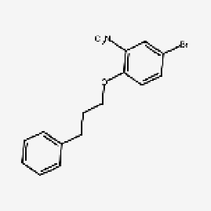 O=[N+]([O-])c1cc(Br)ccc1OCCCc1ccccc1